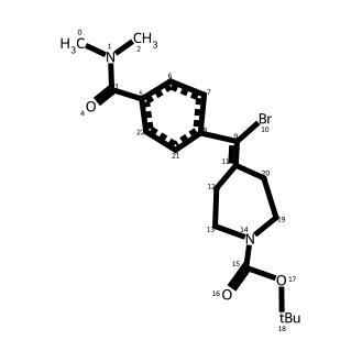 CN(C)C(=O)c1ccc(C(Br)=C2CCN(C(=O)OC(C)(C)C)CC2)cc1